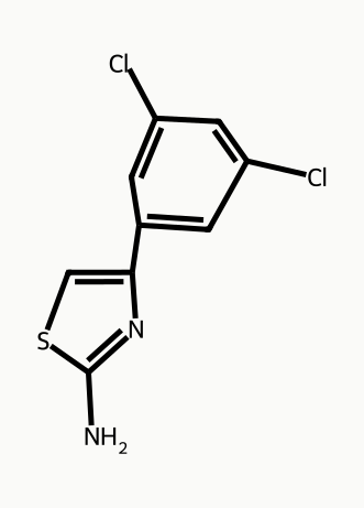 Nc1nc(-c2cc(Cl)cc(Cl)c2)cs1